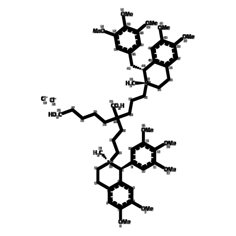 COc1cc2c(cc1OC)[C@H](c1cc(OC)c(OC)c(OC)c1)[N@+](C)(CCCC(CCCCC(=O)O)(CCC[N@@+]1(C)CCc3cc(OC)c(OC)cc3[C@H]1Cc1cc(OC)c(OC)c(OC)c1)C(=O)O)CC2.[Cl-].[Cl-]